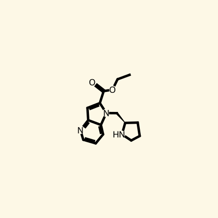 CCOC(=O)c1cc2ncccc2n1C[C@H]1CCCN1